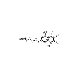 C=Cc1c(F)c(F)c(F)c(F)c1OC(=O)CCCCCNC